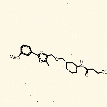 COc1cccc(-c2nc(COCC3CCCC(NC(=O)CCC(=O)O)C3)c(C)o2)c1